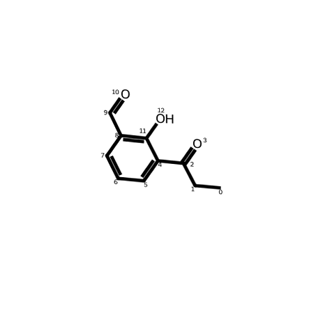 CCC(=O)c1cccc(C=O)c1O